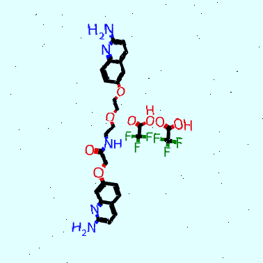 Nc1ccc2cc(OCCOCCNC(=O)COc3ccc4ccc(N)nc4c3)ccc2n1.O=C(O)C(F)(F)F.O=C(O)C(F)(F)F